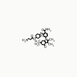 Cc1c2c(n(-c3ccc(C(N)=O)c(NC4CCC(OC(=O)CCN)CC4)c3)c1C)CC(C)(C)CC2=O